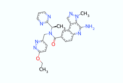 CCOc1ccc(CN(C(=O)c2ccc3nc(N)c4c(cnn4C)c3c2)[C@H](C)c2ncccn2)nn1